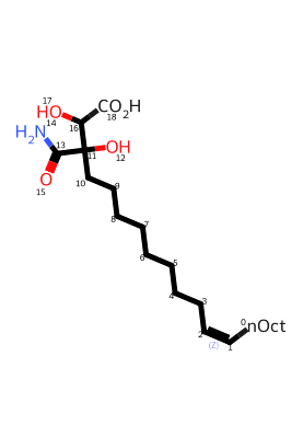 CCCCCCCC/C=C\CCCCCCCCC(O)(C(N)=O)C(O)C(=O)O